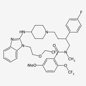 COc1ccc(OC(F)(F)F)c(C(=O)N(C)CC(CCN2CCC(Nc3nc4ccccc4n3CCOCC(F)(F)F)CC2)c2ccc(F)cc2)c1